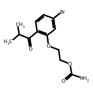 CC(C)C(=O)c1ccc(Br)cc1OCCOC(N)=O